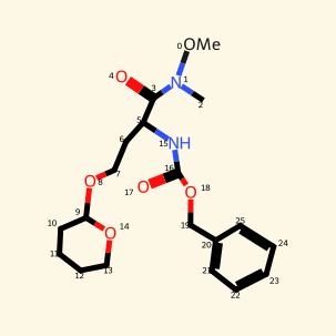 CON(C)C(=O)C(CCOC1CCCCO1)NC(=O)OCc1ccccc1